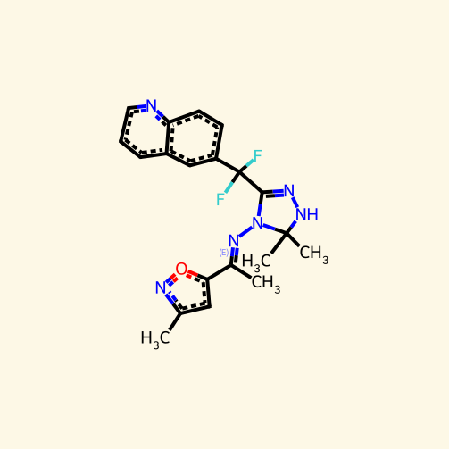 C/C(=N\N1C(C(F)(F)c2ccc3ncccc3c2)=NNC1(C)C)c1cc(C)no1